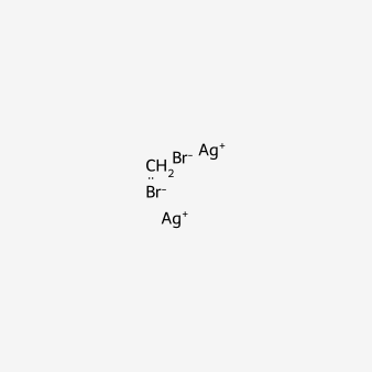 [Ag+].[Ag+].[Br-].[Br-].[CH2]